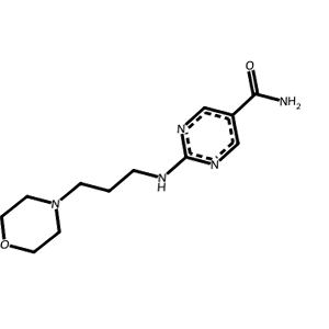 NC(=O)c1cnc(NCCCN2CCOCC2)nc1